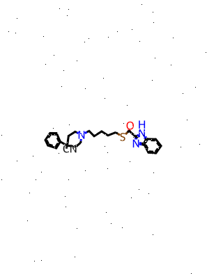 N#CC1(c2ccccc2)CCN(CCCCCSC(=O)c2nc3ccccc3[nH]2)CC1